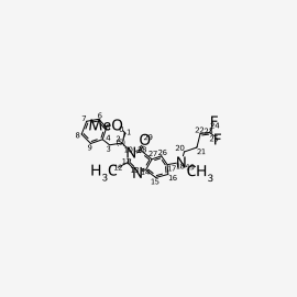 COC[C@H](Cc1ccccc1)n1c(C)nc2ccc(N(C)CCC=C(F)F)cc2c1=O